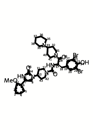 COc1ccccc1-c1cn(C2CCN(C(=O)N[C@H](Cc3cc(Br)c(O)c(Br)c3)C(=O)N3CCC(N4CCCCC4)CC3)CC2)c(=O)[nH]1